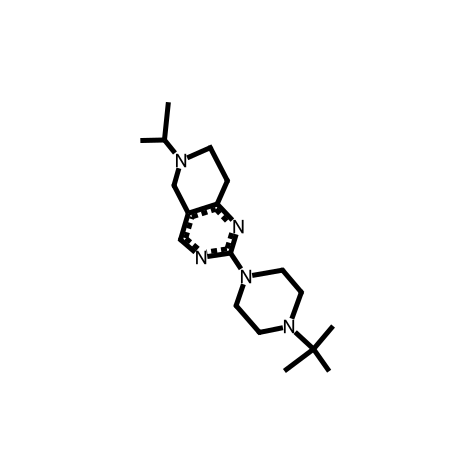 CC(C)N1CCc2nc(N3CCN(C(C)(C)C)CC3)ncc2C1